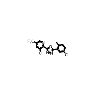 Cc1ccc(Cl)cc1-c1nnc(-c2ncc(C(F)(F)F)cc2Cl)o1